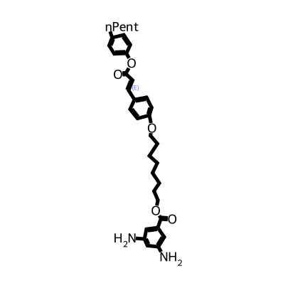 CCCCCc1ccc(OC(=O)/C=C/c2ccc(OCCCCCCCCOC(=O)c3cc(N)cc(N)c3)cc2)cc1